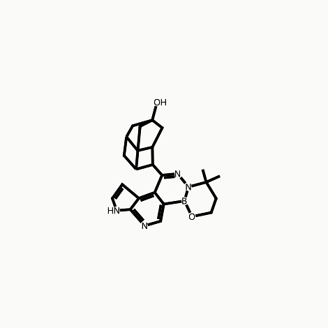 CC1(C)CCOB2c3cnc4[nH]ccc4c3C(C3C4CC5CC3CC(O)(C5)C4)=NN21